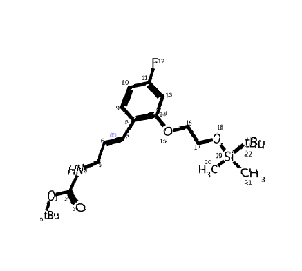 CC(C)(C)OC(=O)NC/C=C/c1ccc(F)cc1OCCO[Si](C)(C)C(C)(C)C